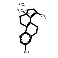 CC1=C2C3=C(CC[C@]2(C)[C@H](O)C1)c1ccc(O)cc1CC3